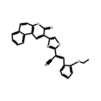 CCOc1ccccc1/C=C(\C#N)c1nc(-c2cc3c(ccc4ccccc43)oc2=O)cs1